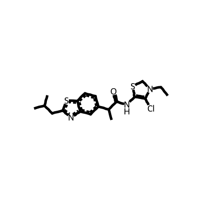 CCN1CSC(NC(=O)C(C)c2ccc3sc(CC(C)C)nc3c2)=C1Cl